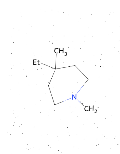 [CH2]N1CCC(C)(CC)CC1